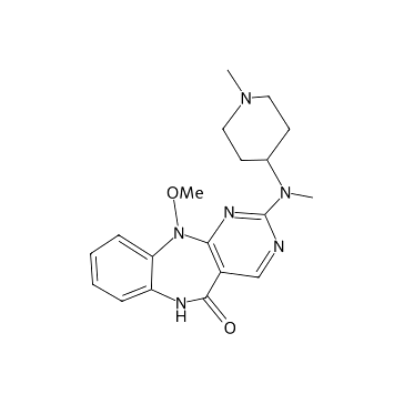 CON1c2ccccc2NC(=O)c2cnc(N(C)C3CCN(C)CC3)nc21